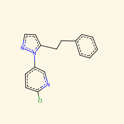 Clc1ccc(-n2nccc2C[CH]c2ccccc2)cn1